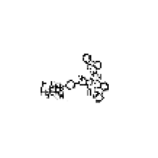 CC1CC(c2ccc(B3OC(C)(C)C(C)(C)O3)cc2)=NC=C1c1nc(-c2cccc3c2oc2ccccc23)nc(-c2cccc3c2oc2ccccc23)n1